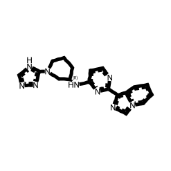 c1ccn2cnc(-c3nccc(N[C@@H]4CCCN(c5nnc[nH]5)C4)n3)c2c1